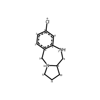 Clc1ccc2c(c1)NCC1CCCN1C2